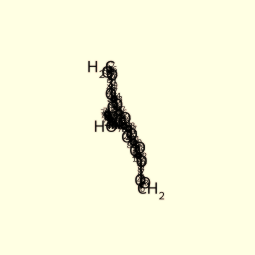 C=CC(=O)OCCCCCCOc1ccc(OC(=O)C2CCC(C(=O)Oc3ccc4cc(OC(=O)C5CCC(C(=O)Oc6ccc(OCCCCCCOC(=O)C=C)cc6)CC5)c(/C=N/N(O)c5nc6ccccc6s5)cc4c3)CC2)cc1